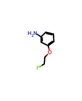 Nc1cccc(OCCF)c1